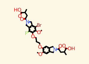 COc1cc2c(cc1OCCCOc1c(F)c3c(c(Br)c1OC)CN(C(=O)CC(C)C(=O)O)C3)CN(C(=O)CC(C)C(=O)O)C2